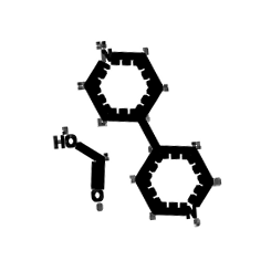 O=CO.c1cc(-c2ccncc2)ccn1